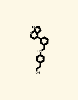 OCCc1ccc(NCc2cccc(-c3ccnc4[nH]ccc34)c2)cc1